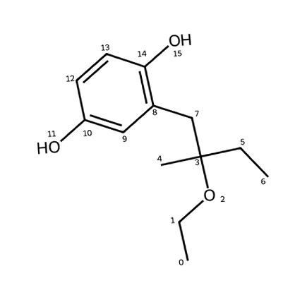 CCOC(C)(CC)Cc1cc(O)ccc1O